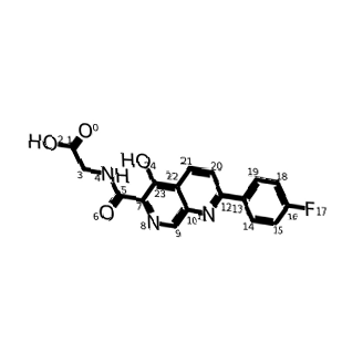 O=C(O)CNC(=O)c1ncc2nc(-c3ccc(F)cc3)ccc2c1O